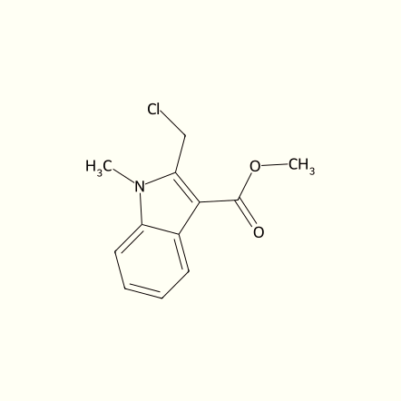 COC(=O)c1c(CCl)n(C)c2ccccc12